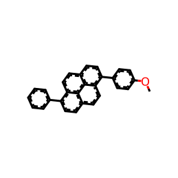 COc1ccc(-c2ccc3ccc4c(-c5ccccc5)ccc5ccc2c3c54)cc1